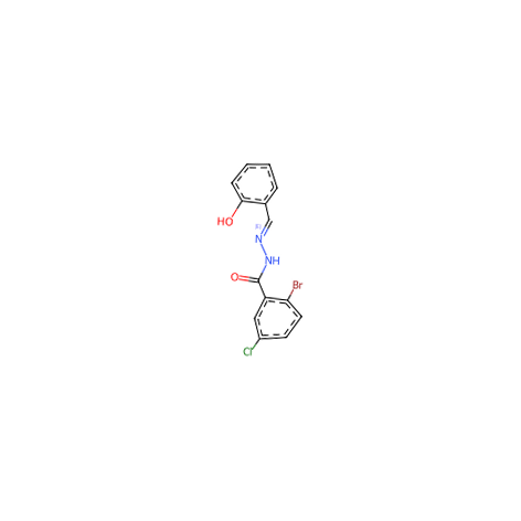 O=C(N/N=C/c1ccccc1O)c1cc(Cl)ccc1Br